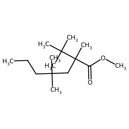 CCCC(C)(C)CC(C)(C(=O)OC)C(C)(C)C